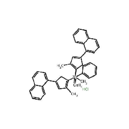 CC1=[C]([Zr]([CH3])(=[GeH2])([C]2=C(C)C=C(c3cccc4ccccc34)C2)[c]2ccccc2)CC(c2cccc3ccccc23)=C1.Cl